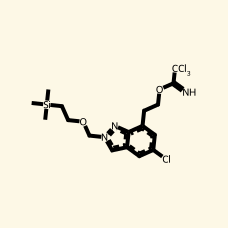 C[Si](C)(C)CCOCn1cc2cc(Cl)cc(CCOC(=N)C(Cl)(Cl)Cl)c2n1